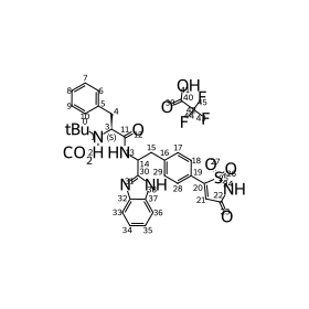 CC(C)(C)N(C(=O)O)[C@@H](Cc1ccccc1)C(=O)NC(Cc1ccc(C2=CC(=O)NS2(=O)=O)cc1)c1nc2ccccc2[nH]1.O=C(O)C(F)(F)F